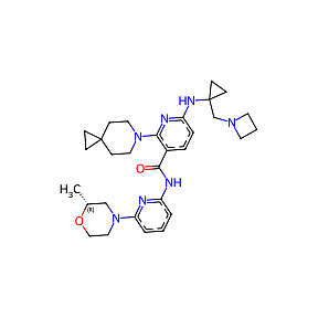 C[C@@H]1CN(c2cccc(NC(=O)c3ccc(NC4(CN5CCC5)CC4)nc3N3CCC4(CC3)CC4)n2)CCO1